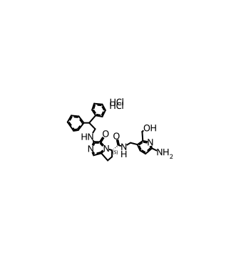 Cl.Cl.Nc1ccc(CNC(=O)[C@@H]2CCc3cnc(NCC(c4ccccc4)c4ccccc4)c(=O)n32)c(CO)n1